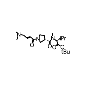 CC(C)[C@@H](C(=O)OC(C)(C)C)N(C)C(=O)[C@H]1CCN(C(=O)/C=C/CN(C)C)C1